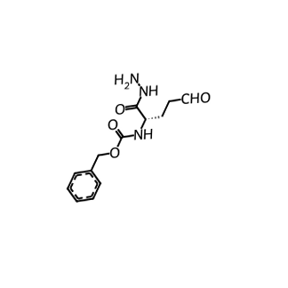 NNC(=O)[C@H](CCC=O)NC(=O)OCc1ccccc1